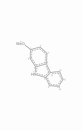 COc1ccc2c(c1)[nH]c1cnccc12